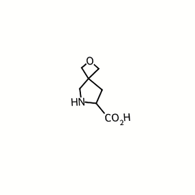 O=C(O)C1CC2(CN1)COC2